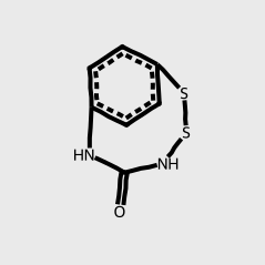 O=C1NSSc2ccc(cc2)N1